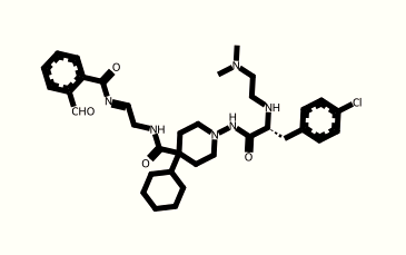 CN(C)CCN[C@H](Cc1ccc(Cl)cc1)C(=O)NN1CCC(C(=O)NCC=NC(=O)c2ccccc2C=O)(C2CCCCC2)CC1